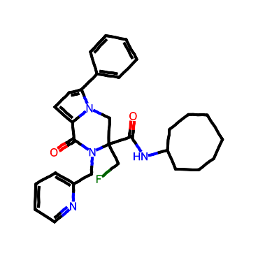 O=C1c2ccc(-c3ccccc3)n2CC(CF)(C(=O)NC2CCCCCCC2)N1Cc1ccccn1